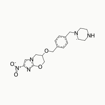 O=[N+]([O-])c1cn2c(n1)OCC(OCc1ccc(CN3[CH]CNCC3)cc1)C2